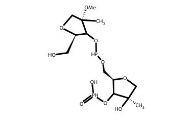 CO[C@@]1(C)CO[C@H](CO)C1OPOC[C@H]1OC[C@@](C)(O)C1O[PH](=O)O